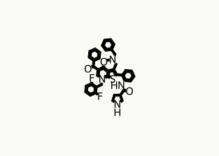 CN(Cc1ccccc1)Cc1c(-c2ccccc2NC(=O)C2CCNC2)sc2c1c(=O)c(C(=O)c1ccccc1)cn2Cc1c(F)cccc1F